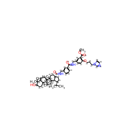 C=C(C)[C@@H]1CC[C@]2(C(=O)NCc3cccc(C(=O)NCc4ccc(OCCCn5ccnc5)c(C(=O)OC)c4)c3)CC[C@]3(C)C(CCC4[C@@]5(C)CC[C@H](O)C(C)(C)C5CC[C@]43C)C12